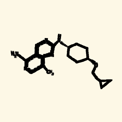 Nc1ncc(C(F)(F)F)c2nc(N[C@H]3CC[C@H](OCC4CC4)CC3)ncc12